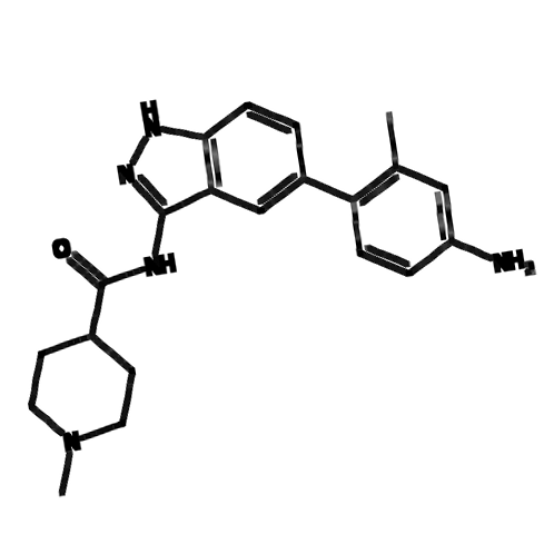 Cc1cc(N)ccc1-c1ccc2[nH]nc(NC(=O)C3CCN(C)CC3)c2c1